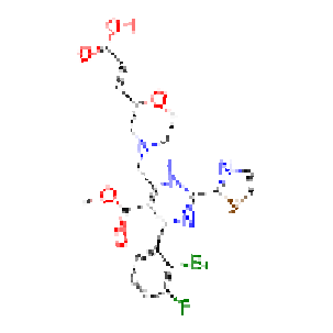 COC(=O)C1=C(CN2CCOC(/C=C/C(=O)O)C2)NC(c2nccs2)=N[C@H]1c1cccc(F)c1Br